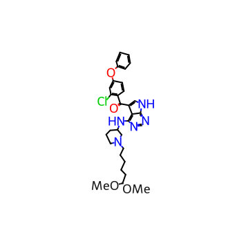 COC(CCCCCN1CCCC(Nc2ncnc3[nH]cc(C(=O)c4ccc(Oc5ccccc5)cc4Cl)c23)C1)OC